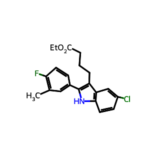 CCOC(=O)CCCc1c(-c2ccc(F)c(C)c2)[nH]c2ccc(Cl)cc12